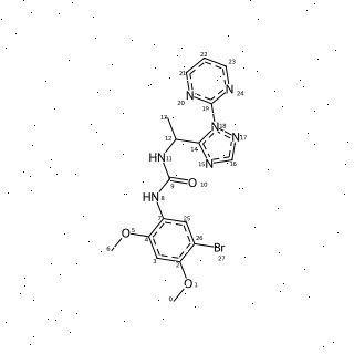 COc1cc(OC)c(NC(=O)NC(C)c2ncnn2-c2ncccn2)cc1Br